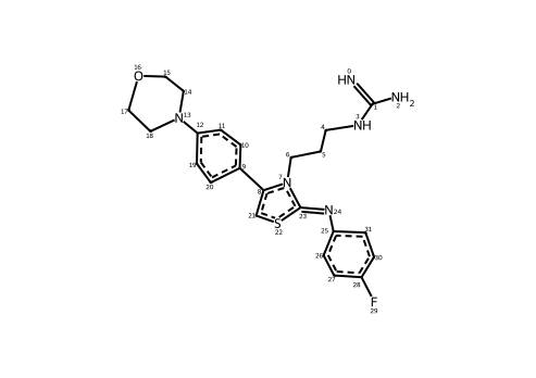 N=C(N)NCCCn1c(-c2ccc(N3CCOCC3)cc2)cs/c1=N\c1ccc(F)cc1